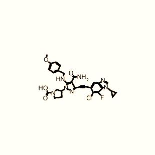 COc1ccc(CNc2c(C(N)=O)c(C#Cc3cc4ncn(C5CC5)c4c(F)c3Cl)nn2C2CCN(C(=O)O)C2)cc1